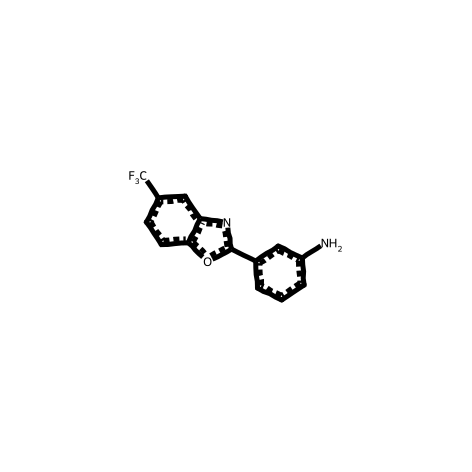 Nc1cccc(-c2nc3cc(C(F)(F)F)ccc3o2)c1